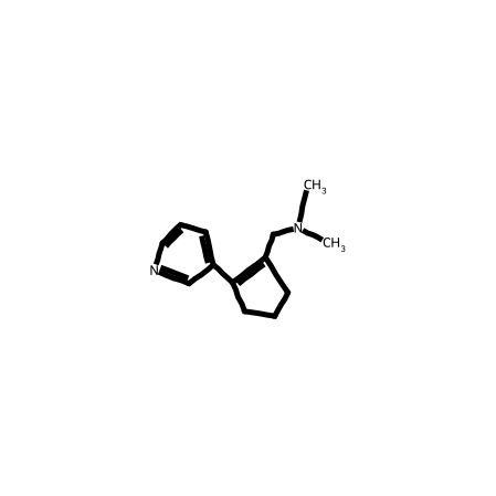 CN(C)CC1=C(c2cccnc2)CCC1